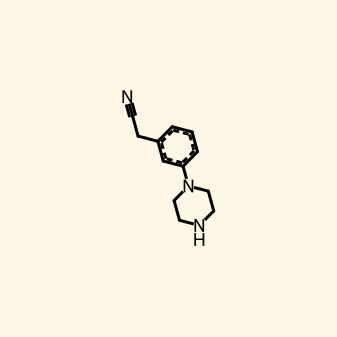 N#CCc1cccc(N2CCNCC2)c1